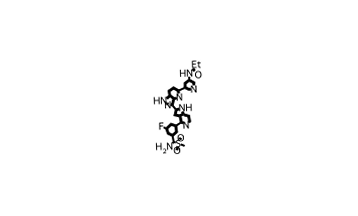 CCC(=O)Nc1cncc(-c2ccc3[nH]nc(-c4cc5c(-c6cc(F)cc(C(N)S(C)(=O)=O)c6)nccc5[nH]4)c3n2)c1